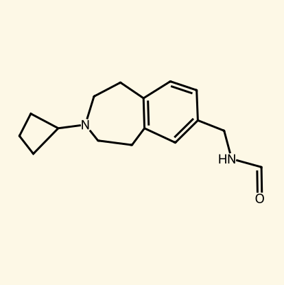 O=CNCc1ccc2c(c1)CCN(C1CCC1)CC2